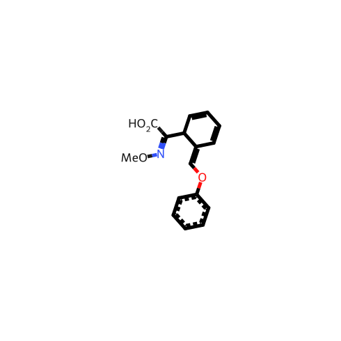 CON=C(C(=O)O)C1C=CC=CC1=COc1ccccc1